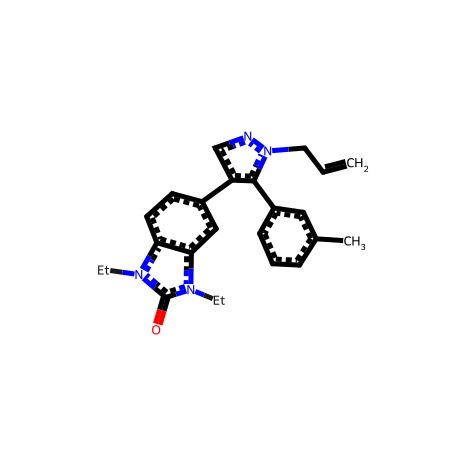 C=CCn1ncc(-c2ccc3c(c2)n(CC)c(=O)n3CC)c1-c1cccc(C)c1